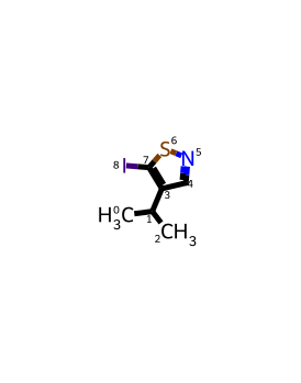 CC(C)c1cnsc1I